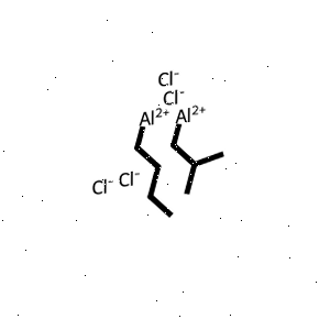 CC(C)[CH2][Al+2].CCC[CH2][Al+2].[Cl-].[Cl-].[Cl-].[Cl-]